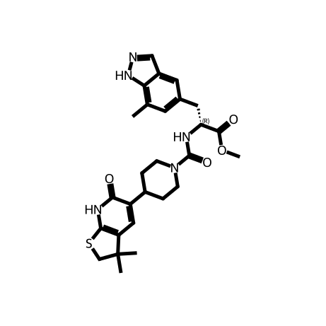 COC(=O)[C@@H](Cc1cc(C)c2[nH]ncc2c1)NC(=O)N1CCC(c2cc3c([nH]c2=O)SCC3(C)C)CC1